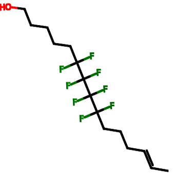 C/C=C/CCCC(F)(F)C(F)(F)C(F)(F)C(F)(F)CCCCCO